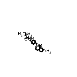 CC(C)(C)OC(=O)NCc1ccc(CN2CCCc3ccc(N)cc3C2=O)cc1